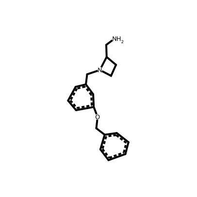 NCC1CCN1Cc1cccc(OCc2ccccc2)c1